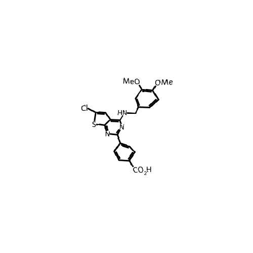 COc1ccc(CNc2nc(-c3ccc(C(=O)O)cc3)nc3sc(Cl)cc23)cc1OC